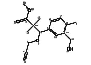 C#CCOC(c1ccc(C)c(CO)c1)C(C)(C)C(=O)OC